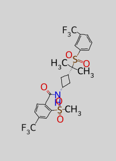 CC(C)([C@H]1C[C@@H](NC(=O)c2ccc(C(F)(F)F)cc2S(C)(=O)=O)C1)S(=O)(=O)c1cccc(C(F)(F)F)c1